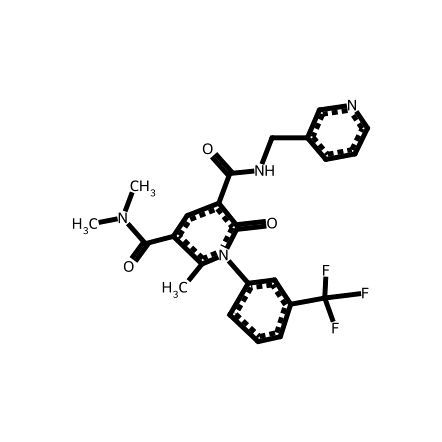 Cc1c(C(=O)N(C)C)cc(C(=O)NCc2cccnc2)c(=O)n1-c1cccc(C(F)(F)F)c1